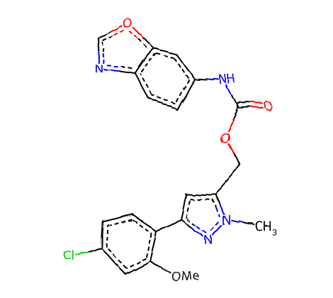 COc1cc(Cl)ccc1-c1cc(COC(=O)Nc2ccc3ncoc3c2)n(C)n1